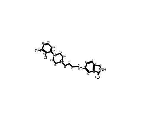 O=C1NCc2ccc(OCCCCN3CCN(c4cccc(Cl)c4Cl)CC3)cc21